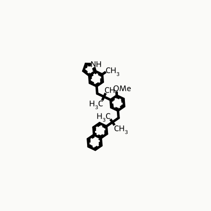 COc1ccc(CC(C)(C)c2ccc3ccccc3c2)cc1C(C)(C)Cc1cc(C)c2[nH]ccc2c1